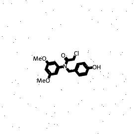 COc1cc(OC)cc(N(Cc2ccc(O)cc2)C(=O)CCl)c1